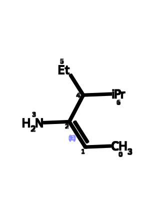 C/C=C(/N)C(CC)C(C)C